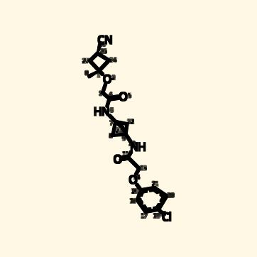 C[C@]1(OCC(=O)NC23CC(NC(=O)COc4ccc(Cl)cc4)(C2)C3)C[C@H](C#N)C1